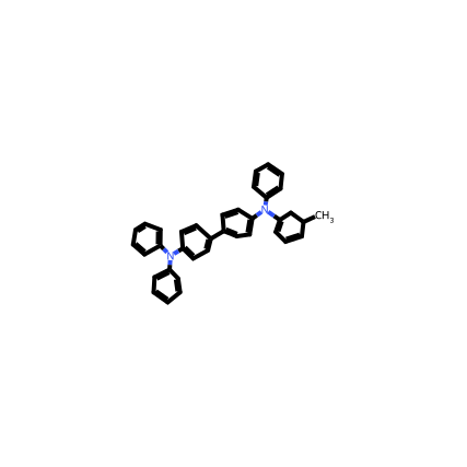 CC1C=CC=C(N(c2ccccc2)c2ccc(-c3ccc(N(c4ccccc4)c4ccccc4)cc3)cc2)C1